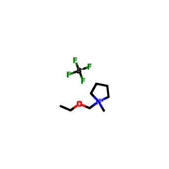 CCOC[N+]1(C)CCCC1.F[B-](F)(F)F